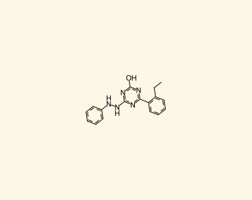 CCc1ccccc1-c1nc(O)nc(NNc2ccccc2)n1